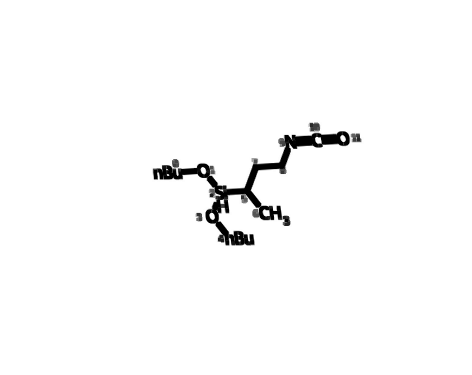 CCCCO[SiH](OCCCC)C(C)CCN=C=O